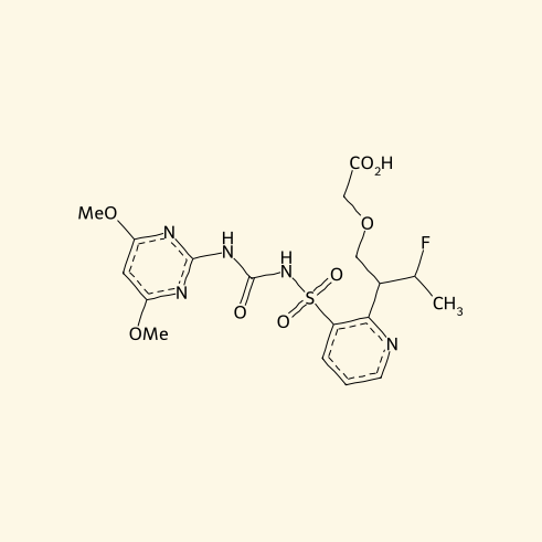 COc1cc(OC)nc(NC(=O)NS(=O)(=O)c2cccnc2C(COCC(=O)O)C(C)F)n1